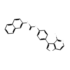 Nc1nccc2scc(-c3ccc(NC(=O)Nc4ccc5ccccc5c4)cc3)c12